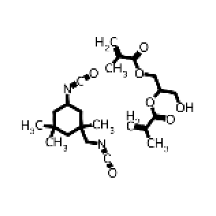 C=C(C)C(=O)OCC(CO)OC(=O)C(=C)C.CC1(C)CC(N=C=O)CC(C)(CN=C=O)C1